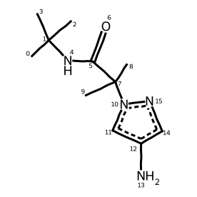 CC(C)(C)NC(=O)C(C)(C)n1cc(N)cn1